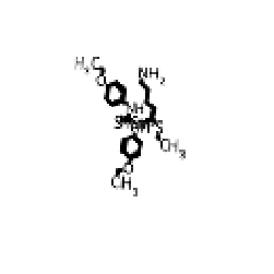 CCOc1ccc(NC(=S)Nc2ccc(OCC)cc2)cc1.CCS[CH]([SnH])CCCCN